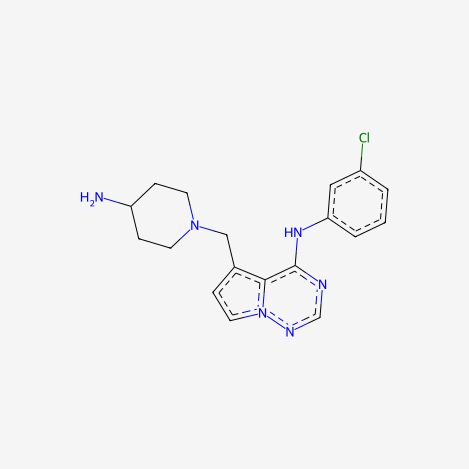 NC1CCN(Cc2ccn3ncnc(Nc4cccc(Cl)c4)c23)CC1